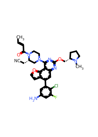 C/C=C/C(=O)N1CCN(c2nc(OC[C@@H]3CCCN3C)nc3cc(-c4cc(N)cc(F)c4Cl)c4ccoc4c23)C[C@@H]1CC#N